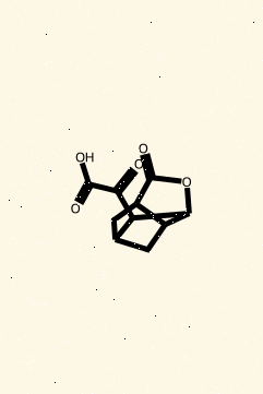 O=C(O)C(=O)C1C2CC3C(=O)OC1C3C2